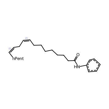 CCCCC/C=C\C/C=C\CCCCCCCC(=O)Nc1ccccc1